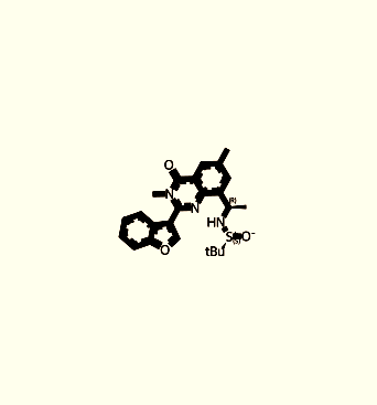 Cc1cc([C@@H](C)N[S@+]([O-])C(C)(C)C)c2nc(-c3coc4ccccc34)n(C)c(=O)c2c1